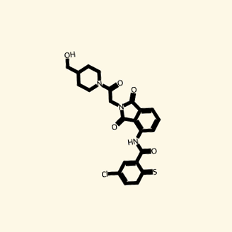 O=C(Nc1cccc2c1C(=O)N(CC(=O)N1CCC(CO)CC1)C2=O)C1=CC(Cl)=CCC1=S